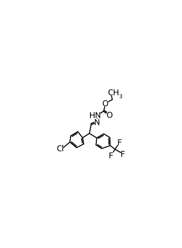 CCOC(=O)NN=CC(c1ccc(Cl)cc1)c1ccc(C(F)(F)F)cc1